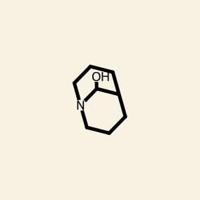 OC1C2CCCN1CCC2